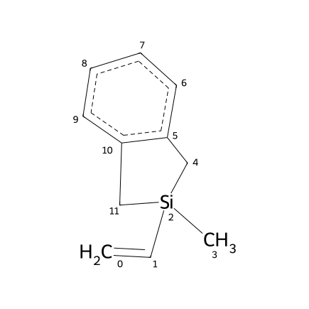 C=C[Si]1(C)Cc2ccccc2C1